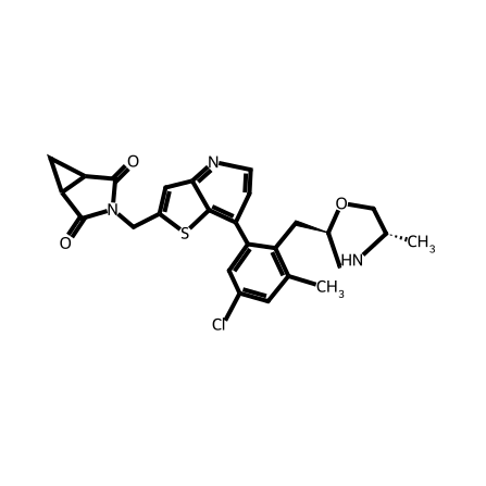 Cc1cc(Cl)cc(-c2ccnc3cc(CN4C(=O)C5CC5C4=O)sc23)c1C[C@@H]1CN[C@@H](C)CO1